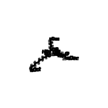 CCCCCCCC/C=C\CCCCCCCC(=O)O[C@@H](COP(=O)(O)OCCNC(=O)CCCCCCCCCCC)C(O)C(=O)CCCCCCCCCCCCCCC